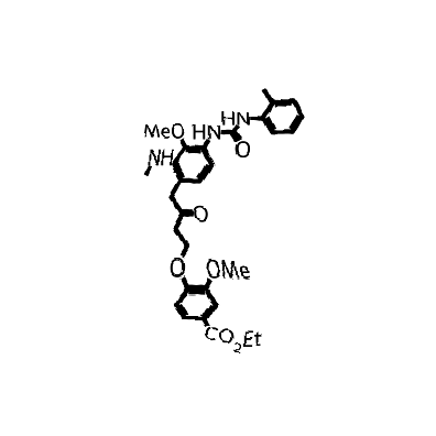 CCOC(=O)c1ccc(OCCC(=O)Cc2ccc(NC(=O)Nc3ccccc3C)c(OC)c2)c(OC)c1.CN